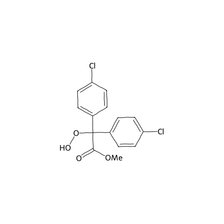 COC(=O)C(OO)(c1ccc(Cl)cc1)c1ccc(Cl)cc1